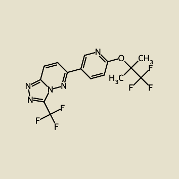 CC(C)(Oc1ccc(-c2ccc3nnc(C(F)(F)F)n3n2)cn1)C(F)(F)F